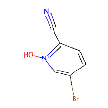 N#Cc1ccc(Br)c[n+]1O